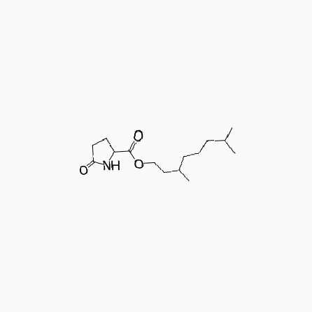 CC(C)CCCC(C)CCOC(=O)C1CCC(=O)N1